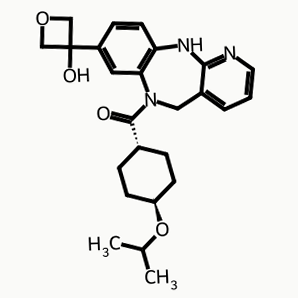 CC(C)O[C@H]1CC[C@H](C(=O)N2Cc3cccnc3Nc3ccc(C4(O)COC4)cc32)CC1